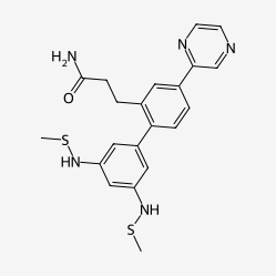 CSNc1cc(NSC)cc(-c2ccc(-c3cnccn3)cc2CCC(N)=O)c1